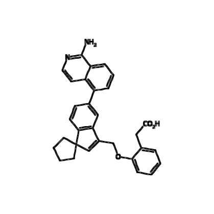 Nc1nccc2c(-c3ccc4c(c3)C(COc3ccccc3CC(=O)O)=CC43CCCC3)cccc12